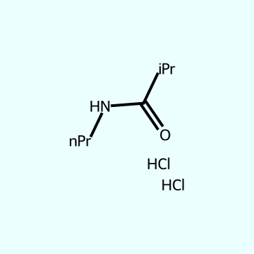 CCCNC(=O)C(C)C.Cl.Cl